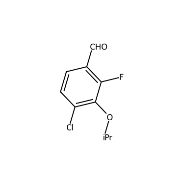 CC(C)Oc1c(Cl)ccc(C=O)c1F